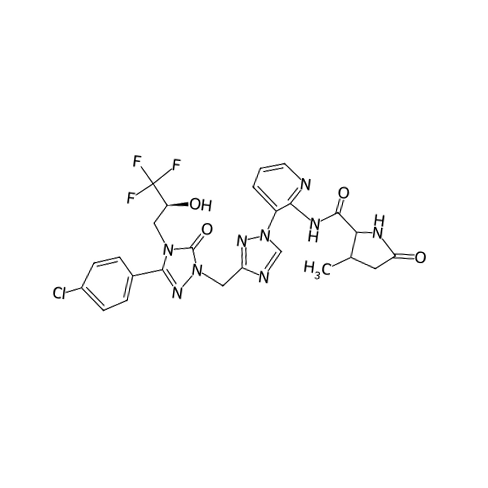 CC1CC(=O)NC1C(=O)Nc1ncccc1-n1cnc(Cn2nc(-c3ccc(Cl)cc3)n(C[C@H](O)C(F)(F)F)c2=O)n1